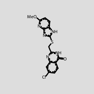 COc1ccc2[nH]c(SCc3nc4cc(Cl)ccc4c(=O)[nH]3)nc2n1